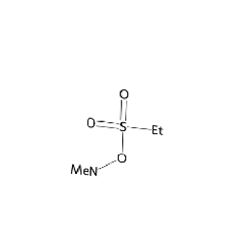 CCS(=O)(=O)ONC